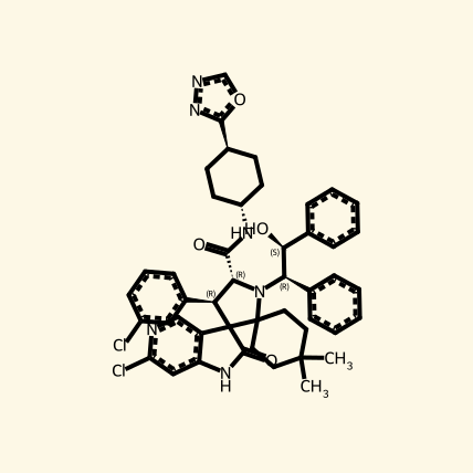 CC1(C)CCC2(CC1)N([C@H](c1ccccc1)[C@@H](O)c1ccccc1)[C@@H](C(=O)N[C@H]1CC[C@H](c3nnco3)CC1)[C@H](c1cccc(Cl)c1)C21C(=O)Nc2cc(Cl)ncc21